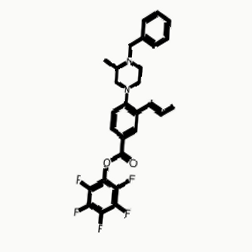 CC=Cc1cc(C(=O)Oc2c(F)c(F)c(F)c(F)c2F)ccc1N1CCN(Cc2ccccc2)C(C)C1